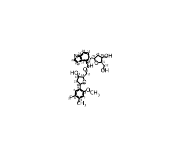 COc1cc(C)c(F)cc1[C@H]1CC(O)[C@@H](CO/[SH]=c2\c3scnc3ccn2[C@H]2CC(O)[C@@H](CO)O2)O1